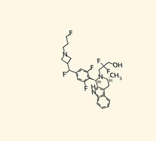 C[C@@H]1Cc2c([nH]c3ccccc23)[C@@H](c2c(F)cc(C(F)C3CN(CCCF)C3)cc2F)N1CC(F)(F)CO